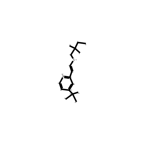 CCC(C)(C)CS/C=C/c1cc(C(C)(C)C)ccn1